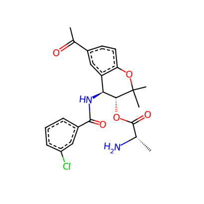 CC(=O)c1ccc2c(c1)[C@H](NC(=O)c1cccc(Cl)c1)[C@@H](OC(=O)[C@H](C)N)C(C)(C)O2